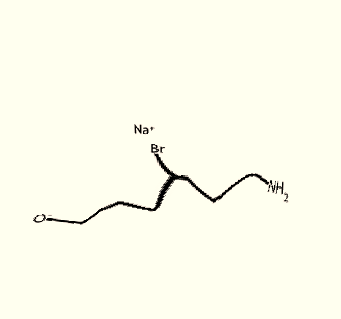 NCCC(Br)CCC[O-].[Na+]